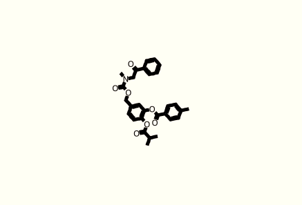 Cc1ccc(C(=O)Oc2cc(COC(=O)N(C)CC(=O)c3ccccc3)ccc2OC(=O)C(C)C)cc1